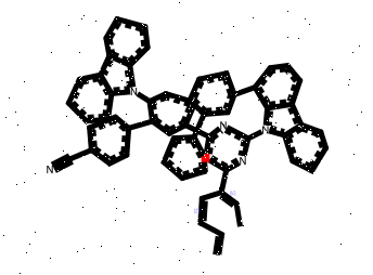 C=C/C=C\C(=C/C)c1nc(-c2ccc(-n3c4ccccc4c4ccccc43)c(-c3ccc(C#N)cc3)c2)nc(-n2c3ccccc3c3cccc(-c4cccc(-c5ccccc5)c4)c32)n1